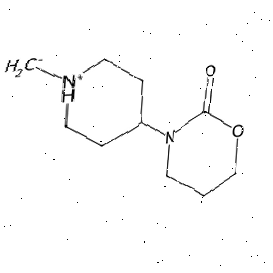 [CH2-][NH+]1CCC(N2CCCOC2=O)CC1